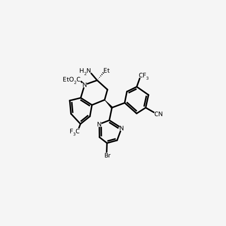 CCOC(=O)N1c2ccc(C(F)(F)F)cc2[C@H](C(c2cc(C#N)cc(C(F)(F)F)c2)c2ncc(Br)cn2)C[C@@]1(N)CC